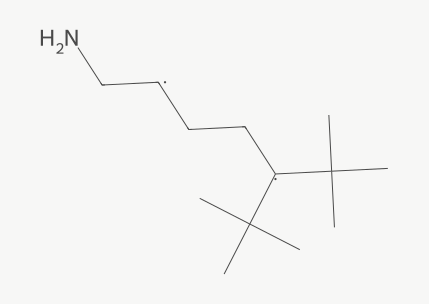 CC(C)(C)[C](CC[CH]CN)C(C)(C)C